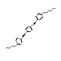 CCCCCCc1ccc(C#Cc2ccc(C#Cc3ccc(CCCCC)c(F)c3)cc2)c(F)c1